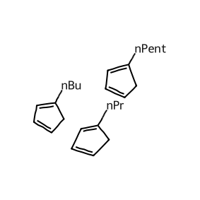 CCCC1=CC=CC1.CCCCC1=CC=CC1.CCCCCC1=CC=CC1